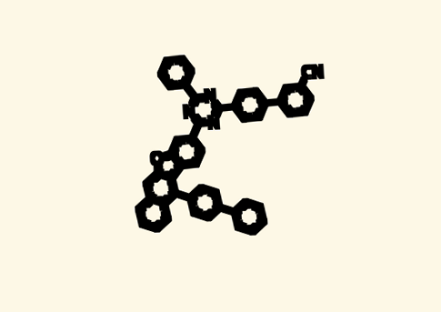 N#Cc1cccc(-c2ccc(-c3nc(-c4ccccc4)nc(-c4ccc5c(c4)oc4cc6ccccc6c(-c6ccc(-c7ccccc7)cc6)c45)n3)cc2)c1